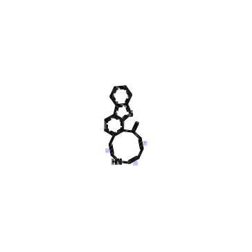 C=C1/C=C\C=C/N/C=C\c2ccc3c(sc4ccccc43)c21